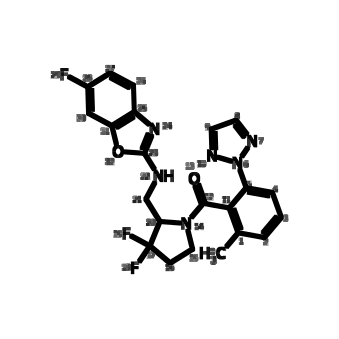 Cc1cccc(-n2nccn2)c1C(=O)N1CCC(F)(F)C1CNc1nc2ccc(F)cc2o1